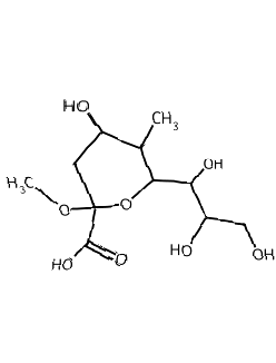 COC1(C(=O)O)CC(O)C(C)C(C(O)C(O)CO)O1